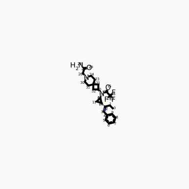 CC/C(=C\c1ccccc1)[C@@H]1C[C@H]1N(C(=O)C(F)(F)F)C1CC2(CCN(CC(N)=O)CC2)C1